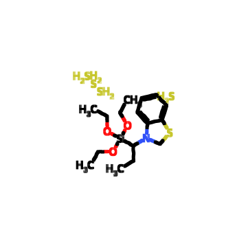 CCO[Si](OCC)(OCC)C(CC)N1CSc2ccccc21.S.S.S.S